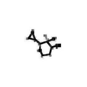 C[C@]1([O])C(O)CCOC1C1CO1